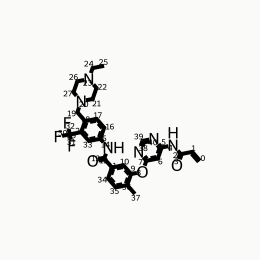 C=CC(=O)Nc1cc(Oc2cc(C(=O)Nc3ccc(CN4CCN(CC)CC4)c(C(F)(F)F)c3)ccc2C)ncn1